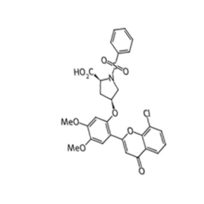 COc1cc(O[C@H]2C[C@@H](C(=O)O)N(S(=O)(=O)c3ccccc3)C2)c(-c2cc(=O)c3cccc(Cl)c3o2)cc1OC